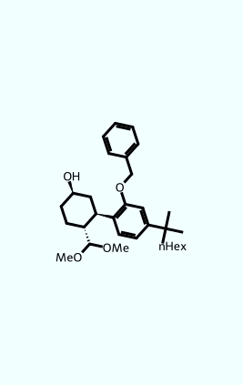 CCCCCCC(C)(C)c1ccc([C@@H]2C[C@H](O)CC[C@H]2C(OC)OC)c(OCc2ccccc2)c1